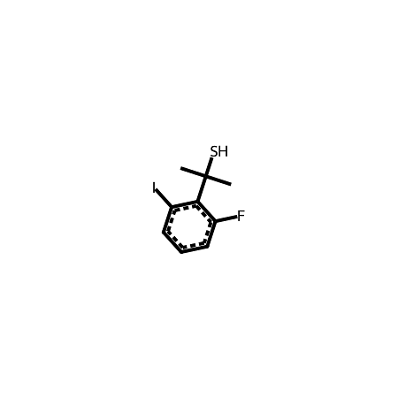 CC(C)(S)c1c(F)cccc1I